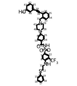 O=C(NS(=O)(=O)c1ccc(NCCSc2ccccc2)c(C(F)(F)F)c1)c1ccc(N2CCN(Cc3ccccc3C#Cc3cccc(O)c3)CC2)cc1